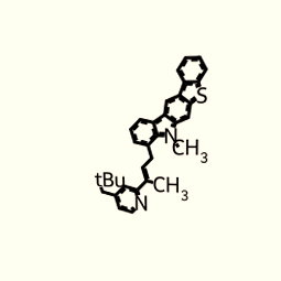 C/C(=C\Cc1cccc2c3cc4c(cc3n(C)c12)sc1ccccc14)c1cc(CC(C)(C)C)ccn1